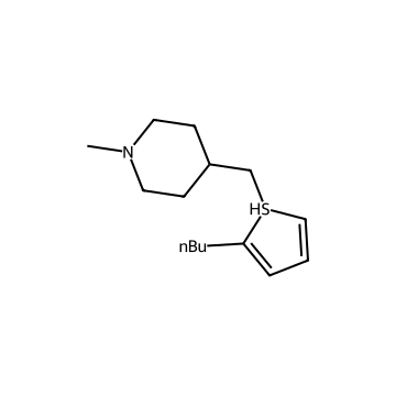 CCCCC1=CC=C[SH]1CC1CCN(C)CC1